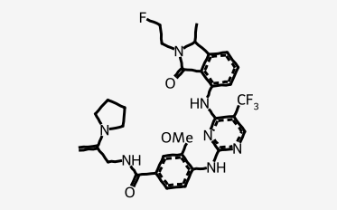 C=C(CNC(=O)c1ccc(Nc2ncc(C(F)(F)F)c(Nc3cccc4c3C(=O)N(CCF)C4C)n2)c(OC)c1)N1CCCC1